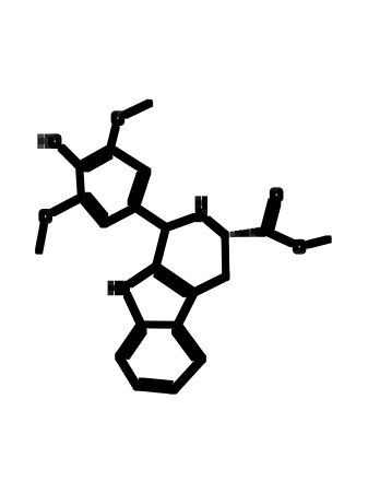 COC(=O)[C@@H]1Cc2c([nH]c3ccccc23)C(c2cc(OC)c(O)c(OC)c2)N1